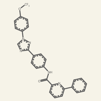 O=C(Nc1ccc(-c2ncn(-c3ccc(OC(F)(F)F)cc3)n2)cc1)c1cccc(-c2ccccc2)n1